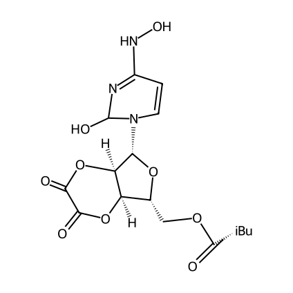 CC[C@@H](C)C(=O)OC[C@H]1O[C@@H](N2C=CC(NO)=NC2O)[C@@H]2OC(=O)C(=O)O[C@@H]21